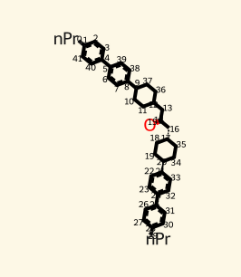 CCCc1ccc(-c2ccc(C3CCC(CC(=O)C[C@H]4CC[C@H](c5ccc(-c6ccc(CCC)cc6)cc5)CC4)CC3)cc2)cc1